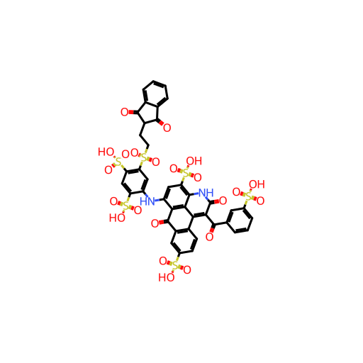 O=C(c1cccc(S(=O)(=O)O)c1)c1c2c3c(c(Nc4cc(S(=O)(=O)CCC5C(=O)c6ccccc6C5=O)c(S(=O)(=O)O)cc4S(=O)(=O)O)cc(S(=O)(=O)O)c3[nH]c1=O)C(=O)c1cc(S(=O)(=O)O)ccc1-2